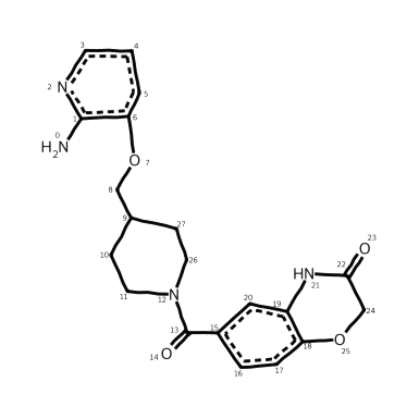 Nc1ncccc1OCC1CCN(C(=O)c2ccc3c(c2)NC(=O)CO3)CC1